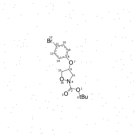 CC(C)(C)OC(=O)N1CC(Oc2ccc(Br)cc2)CO1